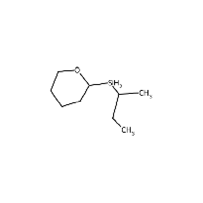 CCC(C)[SiH2]C1CCCCO1